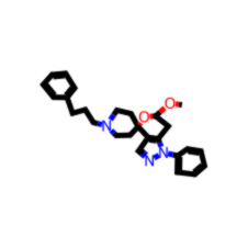 COC1Cc2c(cnn2-c2ccccc2)C2(CCN(CCCc3ccccc3)CC2)O1